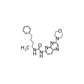 C[C@H](CCCc1ccccc1)NC(=O)Nc1ccc2ncc(N3CCOCC3)nc2n1